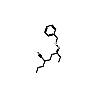 CCCC(C#N)CCC(CC)=NOCc1ccccc1